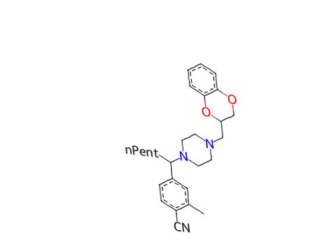 CCCCCC(c1ccc(C#N)c(C)c1)N1CCN(CC2COc3ccccc3O2)CC1